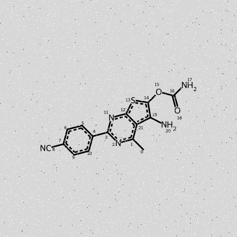 Cc1nc(-c2ccc(C#N)cc2)nc2sc(OC(N)=O)c(N)c12